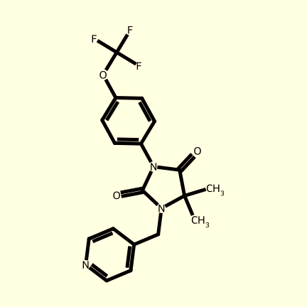 CC1(C)C(=O)N(c2ccc(OC(F)(F)F)cc2)C(=O)N1Cc1ccncc1